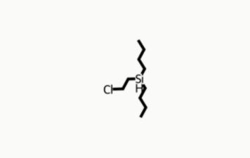 CCCC[SiH](CCCl)CCCC